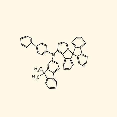 CC1(C)c2ccccc2-c2ccc(N(c3ccc(-c4ccccc4)cc3)c3cccc4c3-c3ccccc3C43c4ccccc4-c4ccccc43)cc21